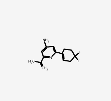 C=C(C)c1cc(N)cc(C2=CCC(F)(F)CC2)n1